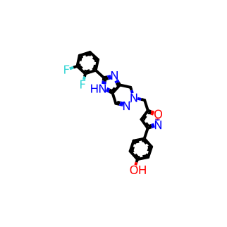 Oc1ccc(-c2cc(CN3Cc4nc(-c5cccc(F)c5F)[nH]c4C=N3)on2)cc1